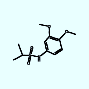 COc1ccc(NS(=O)(=O)C(C)C)cc1OC